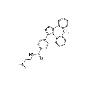 CN(C)CCNC(=O)c1ccc(-c2ccc(-c3ccccc3)n2-c2ccccc2C(F)(F)F)cc1